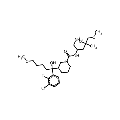 COCCCC[C@@](O)(c1cccc(Cl)c1F)[C@@H]1CCCN(C(=O)NC(CN)CC(C)(C)COC)C1